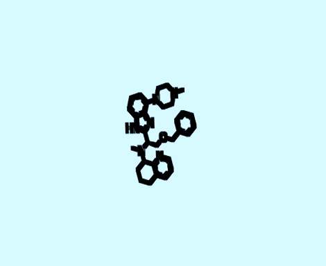 CN1CCN(c2cccc3[nH]c([C@@H](COCc4ccccc4)N(C)C4CCCc5cccnc54)nc23)CC1